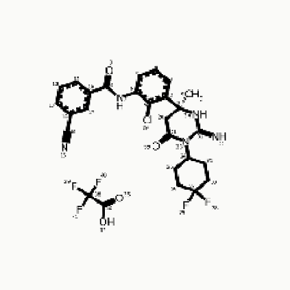 C[C@@]1(c2cccc(NC(=O)c3cccc(C#N)c3)c2Cl)CC(=O)N(C2CCC(F)(F)CC2)C(=N)N1.O=C(O)C(F)(F)F